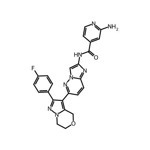 Nc1cc(C(=O)Nc2cn3nc(-c4c(-c5ccc(F)cc5)nn5c4COCC5)ccc3n2)ccn1